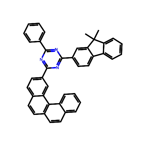 CC1(C)c2ccccc2-c2ccc(-c3nc(-c4ccccc4)nc(-c4ccc5ccc6ccc7ccccc7c6c5c4)n3)cc21